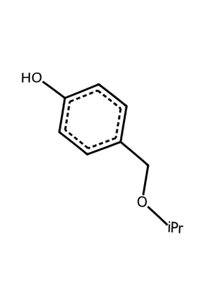 CC(C)OCc1ccc(O)cc1